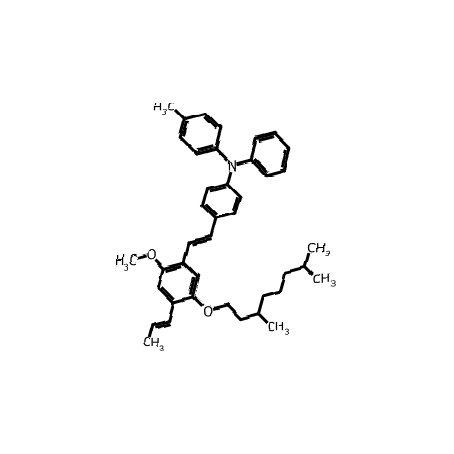 CC=Cc1cc(OC)c(C=Cc2ccc(N(c3ccccc3)c3ccc(C)cc3)cc2)cc1OCCC(C)CCCC(C)C